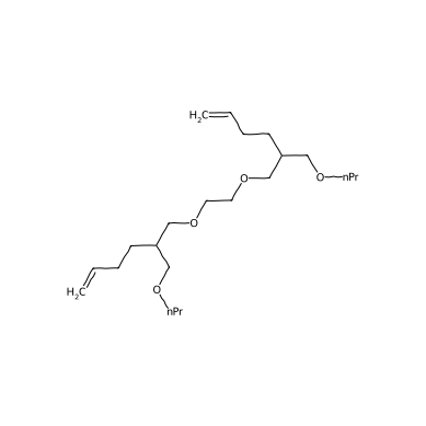 C=CCCC(COCCC)COCCOCC(CCC=C)COCCC